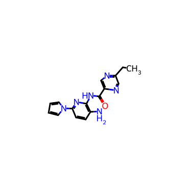 CCc1cnc(C(=O)Nc2nc(-n3cccc3)ccc2N)cn1